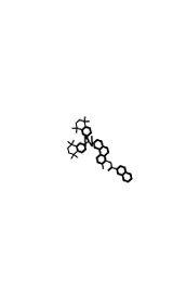 C=C(Cc1c(C)ccc2c1ccc1ccc(N(c3ccc4c(c3)C(C)(C)CCC4(C)C)c3ccc4c(c3)C(C)(C)CCC4(C)C)cc12)c1ccc2ccccc2c1